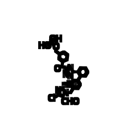 CCCCc1nc(Cl)c(C=O)n1Cc1ccc(-c2ccccc2-c2nnn(C(=O)c3cccc(CON(O)O)c3)n2)cc1